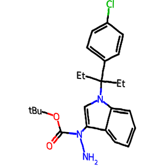 CCC(CC)(c1ccc(Cl)cc1)n1cc(N(N)C(=O)OC(C)(C)C)c2ccccc21